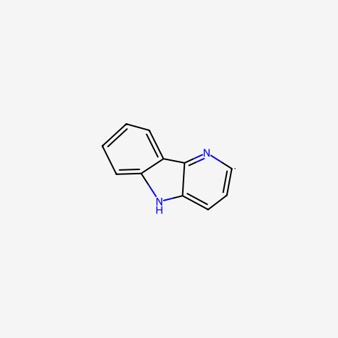 [c]1ccc2[nH]c3ccccc3c2n1